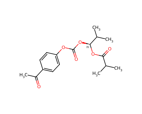 CC(=O)c1ccc(OC(=O)O[C@H](OC(=O)C(C)C)C(C)C)cc1